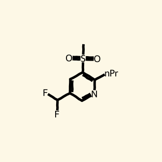 CCCc1ncc(C(F)F)cc1S(C)(=O)=O